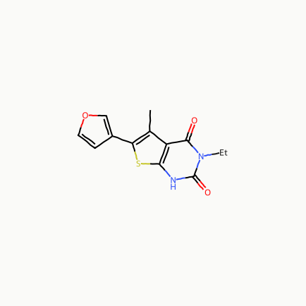 CCn1c(=O)[nH]c2sc(-c3ccoc3)c(C)c2c1=O